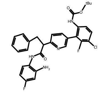 CC(C)(C)OC(=O)Nc1ccc(Cl)c(F)c1-c1ccc(C(Cc2ccccc2)C(=O)Nc2ccc(F)cc2N)nc1